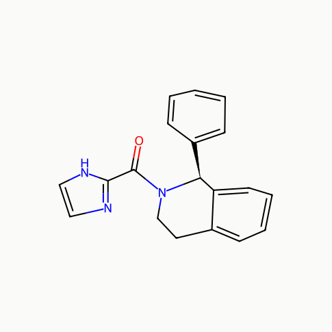 O=C(c1ncc[nH]1)N1CCc2ccccc2[C@@H]1c1ccccc1